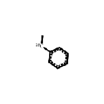 C[13CH2]c1ccccc1